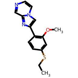 CCSc1ccc(-c2cn3ccncc3n2)c(OC)c1